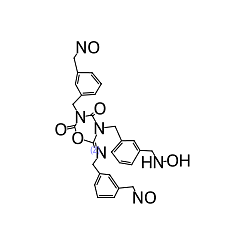 O=NCc1cccc(C/N=c2\oc(=O)n(Cc3cccc(CN=O)c3)c(=O)n2Cc2cccc(CNO)c2)c1